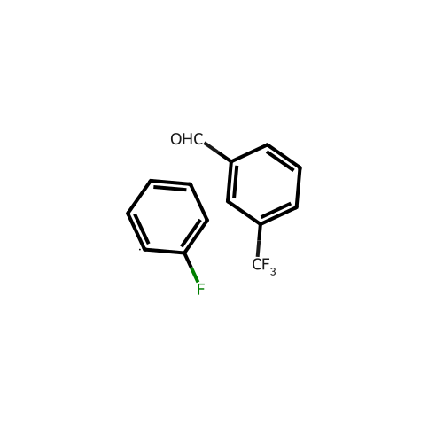 Fc1[c]cccc1.O=Cc1cccc(C(F)(F)F)c1